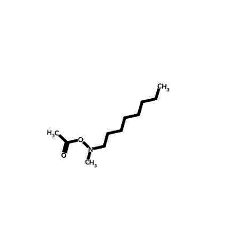 CCCCCCCCN(C)OC(C)=O